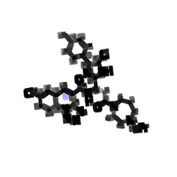 CCCN1CCCN(C(=O)C[C@H](NC(=O)/C=C/c2cc(Cl)ccc2-n2cnnn2)c2nc(-c3ccc(C)cc3)c(Cl)[nH]2)CC1